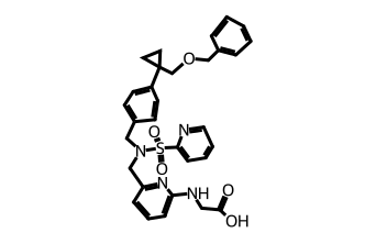 O=C(O)CNc1cccc(CN(Cc2ccc(C3(COCc4ccccc4)CC3)cc2)S(=O)(=O)c2ccccn2)n1